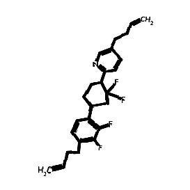 C=CCCc1ccc(C2CCC(c3ccc(CCC=C)c(F)c3F)CC2(F)F)nc1